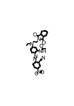 CCN(CCN1C(=O)c2ccccc2C1=O)c1ccc(N=Nc2ccc([N+](=O)[O-])cc2C#N)c(NC(C)=O)c1